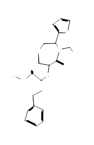 CCCCOC(=O)[C@@H](CCc1ccccc1)NC1CSCC(c2cccs2)N(CC(=O)O)C1=O